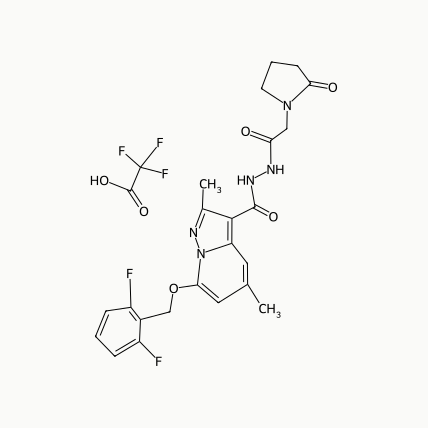 Cc1cc(OCc2c(F)cccc2F)n2nc(C)c(C(=O)NNC(=O)CN3CCCC3=O)c2c1.O=C(O)C(F)(F)F